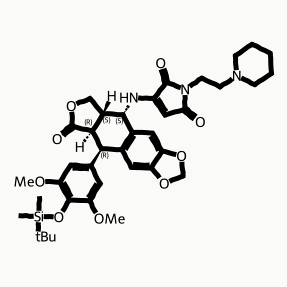 COc1cc([C@@H]2c3cc4c(cc3[C@@H](NC3=CC(=O)N(CCN5CCCCC5)C3=O)[C@H]3COC(=O)[C@H]23)OCO4)cc(OC)c1O[Si](C)(C)C(C)(C)C